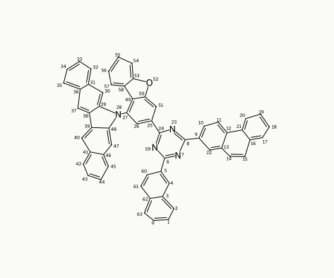 c1ccc2cc(-c3nc(-c4ccc5c(ccc6ccccc65)c4)nc(-c4cc(-n5c6cc7ccccc7cc6c6cc7ccccc7cc65)c5c(c4)oc4ccccc45)n3)ccc2c1